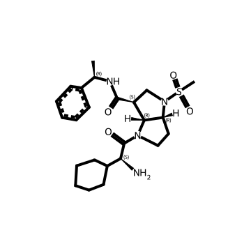 C[C@@H](NC(=O)[C@H]1CN(S(C)(=O)=O)[C@@H]2CCN(C(=O)[C@@H](N)C3CCCCC3)[C@H]12)c1ccccc1